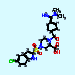 CN(C)C(=N)c1ccc(C(=O)N2CCN(S(=O)(=O)c3cc4cc(Cl)ccc4[nH]3)CC2C(=O)O)cc1